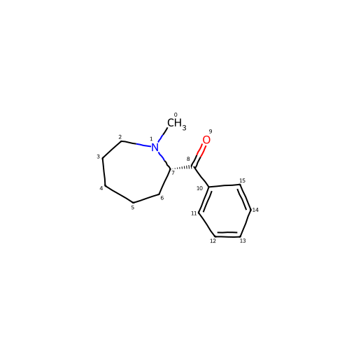 CN1CCCCC[C@H]1C(=O)c1ccccc1